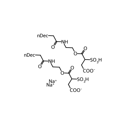 CCCCCCCCCCCC(=O)NCCOC(=O)C(CC(=O)[O-])S(=O)(=O)O.CCCCCCCCCCCC(=O)NCCOC(=O)C(CC(=O)[O-])S(=O)(=O)O.[Na+].[Na+]